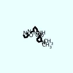 CN(C)c1cccc(S(=O)(=O)Nc2cccc(-c3nc4ncccc4o3)n2)c1